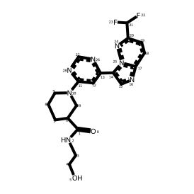 O=C(NCCO)C1CCCN(c2cc(-c3cnc4ccc(C(F)F)nn34)ncn2)C1